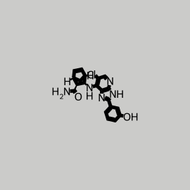 NC(=O)[C@@H]1[C@H](Nc2c(Cl)cnc3[nH]c(-c4cccc(O)c4)nc23)[C@H]2C=C[C@@H]1C2